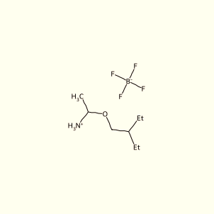 CCC(CC)COC(C)[NH3+].F[B-](F)(F)F